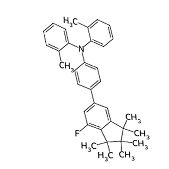 Cc1ccccc1N(c1ccc(-c2cc(F)c3c(c2)C(C)(C)C(C)(C)C3(C)C)cc1)c1ccccc1C